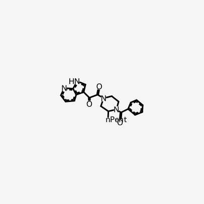 CCCCCC1CN(C(=O)C(=O)c2c[nH]c3ncccc23)CCN1C(=O)c1ccccc1